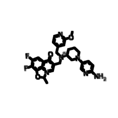 COc1cc(CN(Cc2cn3c4c(c(F)c(F)cc4c2=O)OC3C)[C@H]2CCCN(c3ccc(N)nc3)C2)ccn1